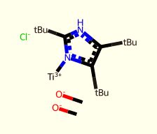 CC(C)(C)c1[nH]c(C(C)(C)C)[n+]([Ti+3])c1C(C)(C)C.C[O-].C[O-].[Cl-]